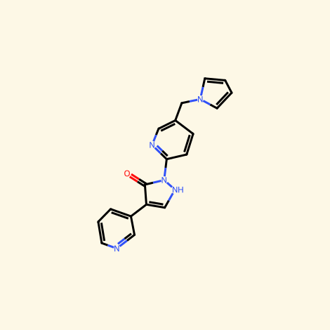 O=c1c(-c2cccnc2)c[nH]n1-c1ccc(Cn2cccc2)cn1